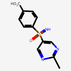 Cc1ncc(S(=N)(=O)c2ccc(C(=O)O)cc2)cn1